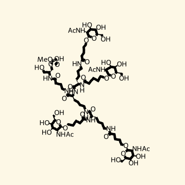 COP(=O)(O)OC[C@@H](CO)NC(=O)CCCNC(=O)[C@H](CCCCNC(=O)[C@H](CCCCNC(=O)CCCCO[C@@H]1O[C@H](CO)[C@H](O)[C@H](O)[C@H]1NC(C)=O)NC(=O)CCCCO[C@@H]1O[C@H](CO)[C@H](O)[C@H](O)[C@H]1NC(C)=O)NC(=O)[C@H](CCCCNC(=O)CCCCO[C@@H]1O[C@H](CO)[C@H](O)[C@H](O)[C@H]1NC(C)=O)NC(=O)CCCCO[C@@H]1O[C@H](CO)[C@H](O)[C@H](O)[C@H]1NC(C)=O